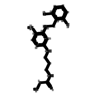 CC(C)(C)OC(=O)NCCCNc1ncc([N+](=O)[O-])c(NCc2c(Cl)cccc2Cl)n1